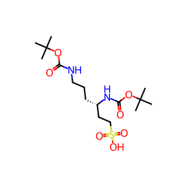 CC(C)(C)OC(=O)NCCC[C@@H](CCS(=O)(=O)O)NC(=O)OC(C)(C)C